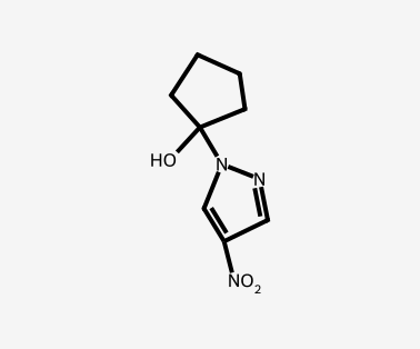 O=[N+]([O-])c1cnn(C2(O)CCCC2)c1